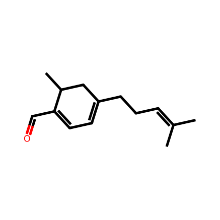 CC(C)=CCCC1=CC=C(C=O)C(C)C1